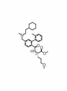 COCCC[C@H](NC(=O)c1ccc(CN(C)CCC2CCCCC2)cc1-c1ccccc1C)C(=O)OC